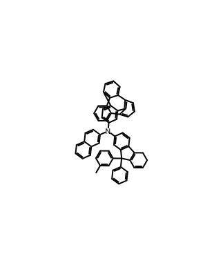 Cc1cccc(C2(c3ccccc3)C3=C(CCC=C3)c3ccc(N(c4ccc5c(c4)-c4c6cccc4-c4cccc-5c4-c4ccccc4-6)c4ccc5ccccc5c4)cc32)c1